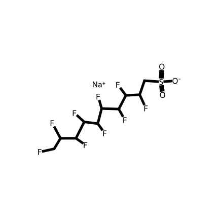 O=S(=O)([O-])CC(F)C(F)C(F)C(F)C(F)C(F)C(F)C(F)CF.[Na+]